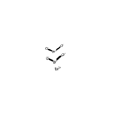 [Ba+2].[O-][Br+][O-].[O-][Br+][O-]